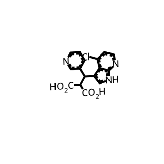 O=C(O)C(C(=O)O)C(c1cccnc1)c1c[nH]c2nccc(Cl)c12